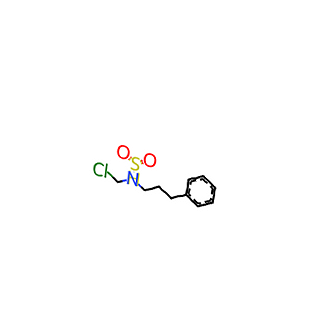 O=[SH](=O)N(CCl)CCCc1ccccc1